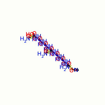 NC(=O)CSC[C@H](NC(=O)CNC(=O)CNC(=O)CNC(=O)CNC(=O)CNC(=O)[C@H](CSCC(N)=O)NC(=O)CNC(=O)CNC(=O)CNC(=O)CNC(=O)CNC(=O)[C@@H](N)CSCC(=O)N1CC23CCCC2(CCC3)C1)C(=O)O